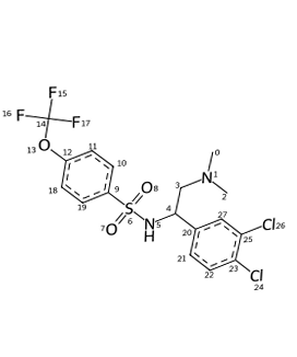 CN(C)CC(NS(=O)(=O)c1ccc(OC(F)(F)F)cc1)c1ccc(Cl)c(Cl)c1